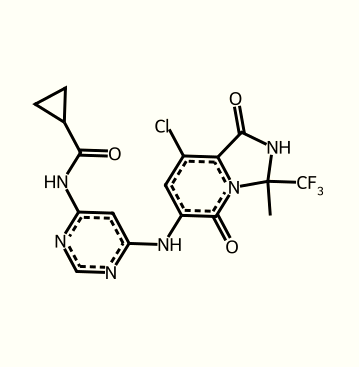 CC1(C(F)(F)F)NC(=O)c2c(Cl)cc(Nc3cc(NC(=O)C4CC4)ncn3)c(=O)n21